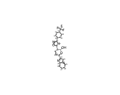 O=C(/N=C\C(CO)c1nc(-c2ccc(C(F)(F)F)cc2)no1)c1cn2ccccc2n1